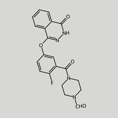 O=CN1CCN(C(=O)c2cc(Oc3n[nH]c(=O)c4ccccc34)ccc2F)CC1